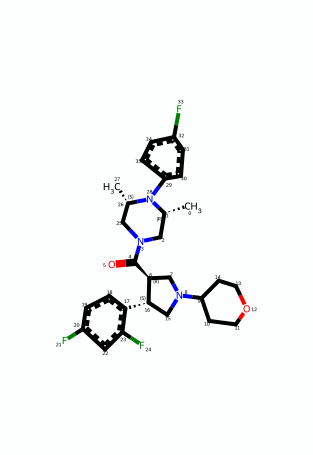 C[C@@H]1CN(C(=O)[C@H]2CN(C3CCOCC3)C[C@@H]2c2ccc(F)cc2F)C[C@H](C)N1c1ccc(F)cc1